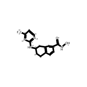 O=C(NO)c1ccc2c(c1)CC(Nc1nccc(C(F)(F)F)n1)CC2